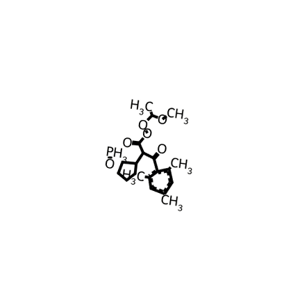 COC(C)OOC(=O)C(C(=O)c1c(C)cc(C)cc1C)C1CCCC1.O=[PH3]